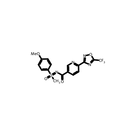 COc1ccc(S(C)(=O)=NC(=O)c2ccc(-c3noc(C(F)(F)F)n3)nc2)cc1